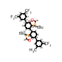 Cc1cc(-c2ccc(-c3ccc(-c4cc(C(F)(F)F)cc(C(F)(F)F)c4)c4c3[P@](C(C)(C)C)CO4)c3c2OC[P@@]3C(C)(C)C)cc(C(F)(F)F)c1